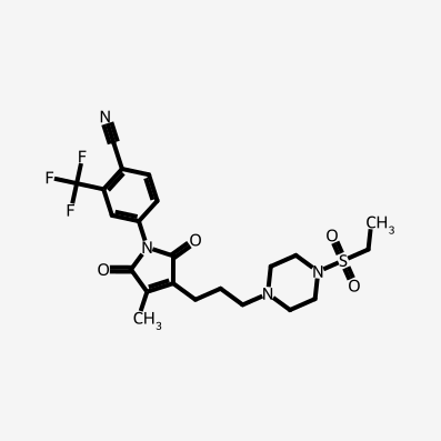 CCS(=O)(=O)N1CCN(CCCC2=C(C)C(=O)N(c3ccc(C#N)c(C(F)(F)F)c3)C2=O)CC1